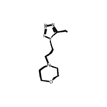 Cc1nnnn1CCN1CCOCC1